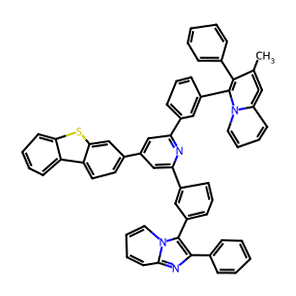 CC1=C=C2C=CC=CN2C(c2cccc(-c3cc(-c4ccc5c(c4)sc4ccccc45)cc(-c4cccc(-c5c(-c6ccccc6)nc6ccccn56)c4)n3)c2)=C1c1ccccc1